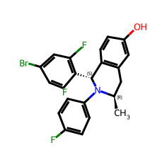 C[C@@H]1Cc2cc(O)ccc2[C@@H](c2c(F)cc(Br)cc2F)N1c1ccc(F)cc1